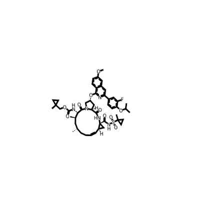 COc1ccc2c(O[C@@H]3C[C@H]4C(=O)N[C@]5(C(=O)NS(=O)(=O)C6(C)CC6)C[C@H]5/C=C\CC[C@H](C)C[C@@H](C)[C@H](NC(=O)OCC5(C)CC5)C(=O)N4C3)nc(-c3ccc(OC(C)C)c(F)c3)cc2c1